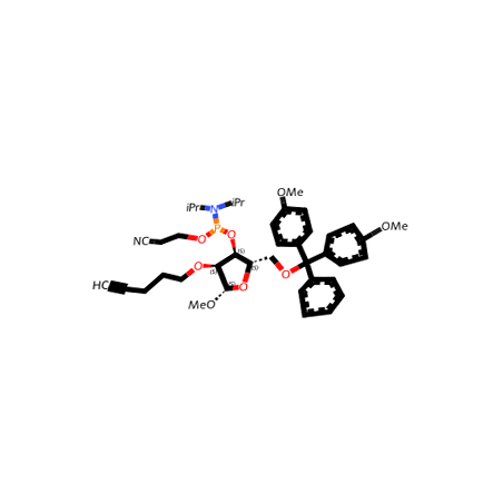 C#CCCCO[C@@H]1[C@@H](OC)O[C@@H](COC(c2ccccc2)(c2ccc(OC)cc2)c2ccc(OC)cc2)[C@@H]1OP(OCCC#N)N(C(C)C)C(C)C